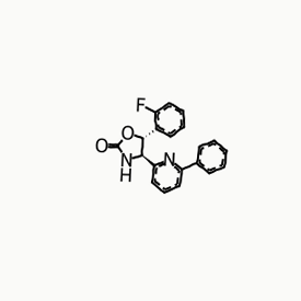 O=C1N[C@H](c2cccc(-c3ccccc3)n2)[C@@H](c2ccccc2F)O1